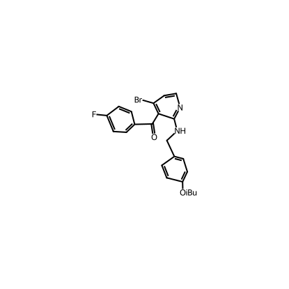 CC(C)COc1ccc(CNc2nccc(Br)c2C(=O)c2ccc(F)cc2)cc1